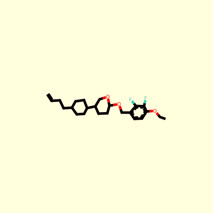 C=CCCC1CCC(C2CCC(OCc3ccc(OCC)c(F)c3F)OC2)CC1